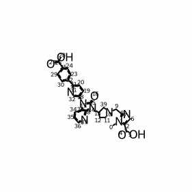 Cn1c(C(=O)O)cnc1CN1CCC(n2c(=O)n(-c3ccc(-c4ccc(C(=O)O)cc4)nc3)c3cccnc32)C1